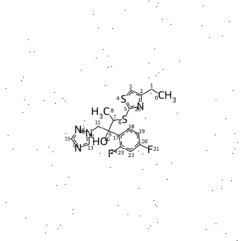 CCc1csc(SC(C)C(O)(Cn2cncn2)c2ccc(F)cc2F)n1